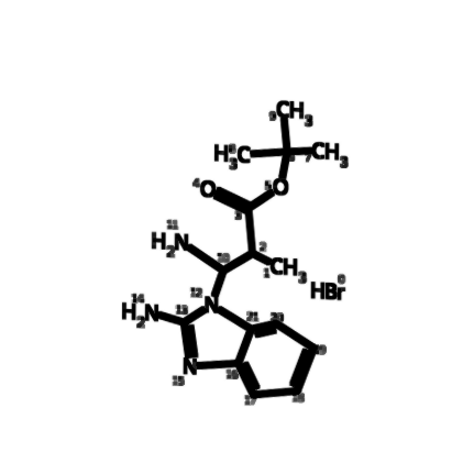 Br.CC(C(=O)OC(C)(C)C)C(N)n1c(N)nc2ccccc21